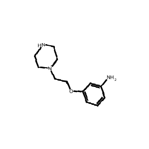 Nc1cccc(OCCN2CCNCC2)c1